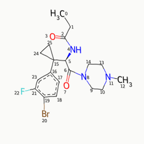 CCC(=O)N[C@@H](C(=O)N1CCN(C)CC1)C1(c2ccc(Br)c(F)c2)CC1